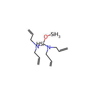 C=CCN(CC=C)[SiH](O[SiH3])N(CC=C)CC=C